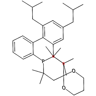 CC(C)Cc1cc(CC(C)C)c(-c2ccccc2P2C(C)(C)CC3(CC2(C)C)OCCCO3)c(CC(C)C)c1